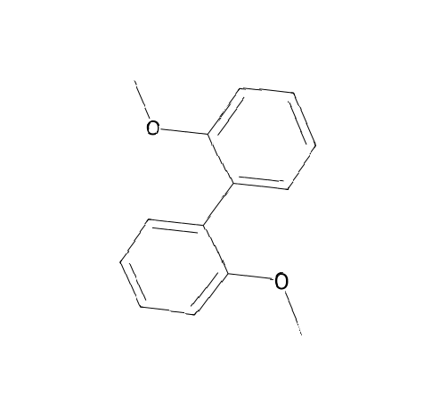 COc1ccccc1-c1ccccc1OC